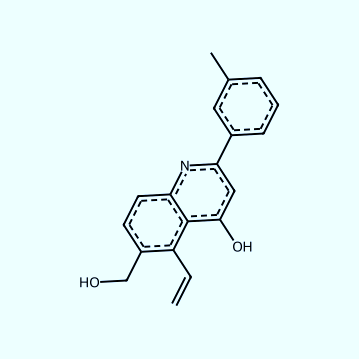 C=Cc1c(CO)ccc2nc(-c3cccc(C)c3)cc(O)c12